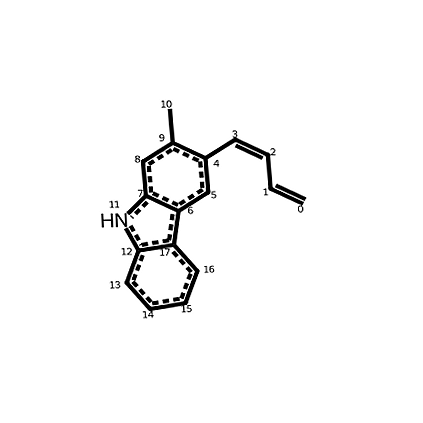 C=C/C=C\c1cc2c(cc1C)[nH]c1ccccc12